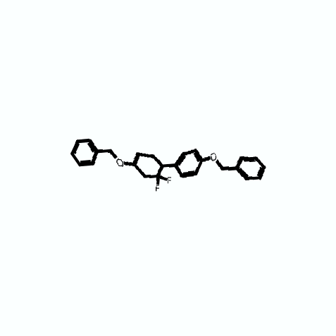 FC1(F)CC(OCc2ccccc2)CCC1c1ccc(OCc2ccccc2)cc1